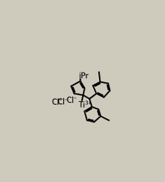 Cc1cccc(C(c2cccc(C)c2)[C]2([Ti+3])C=CC(C(C)C)=C2)c1.[Cl-].[Cl-].[Cl-]